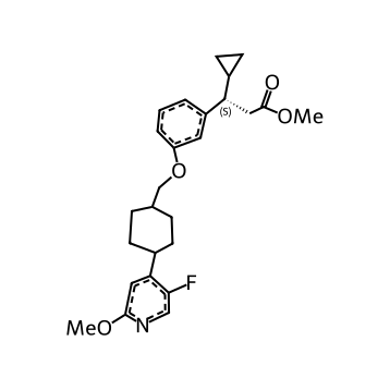 COC(=O)C[C@H](c1cccc(OCC2CCC(c3cc(OC)ncc3F)CC2)c1)C1CC1